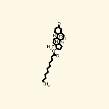 C=CCCCCCCCCC(=O)O[C@H]1CC[C@H]2[C@@H]3CCC4=CC(=O)CC[C@]4(C)[C@H]3CC[C@]12C